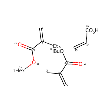 C=C(C)C(=O)OCC(C)C.C=C(CC)C(=O)OCCCCCC.C=CC(=O)O